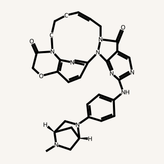 CN1C[C@@H]2C[C@H]1CN2c1ccc(Nc2ncc3c(=O)n4n(c3n2)-c2ccc3c(n2)N(CCC/C=C\C4)C(=O)CO3)cc1